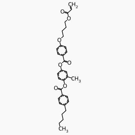 C=CC(=O)OCCCCOc1ccc(C(=O)Oc2ccc(OC(=O)c3ccc(CCCCC)cc3)c(C)c2)cc1